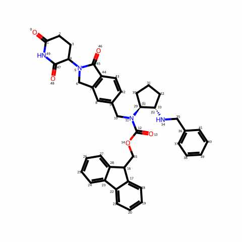 O=C1CCC(N2Cc3cc(CN(C(=O)OCC4c5ccccc5-c5ccccc54)[C@H]4CCC[C@@H]4NCc4ccccc4)ccc3C2=O)C(=O)N1